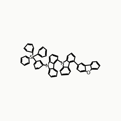 c1ccc([Si](c2ccccc2)(c2ccccc2)c2cccc(-n3c4ccccc4c4c(-n5c6ccccc6c6c(-c7ccc8oc9ccccc9c8c7)cccc65)cccc43)c2)cc1